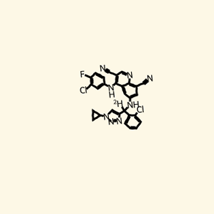 [2H]C(Nc1cc(C#N)c2ncc(C#N)c(Nc3ccc(F)c(Cl)c3)c2c1)(c1cn(C2CC2)nn1)c1ccccc1Cl